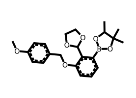 COc1ccc(COc2cccc(B3OC(C)C(C)(C)O3)c2C2OCCO2)cc1